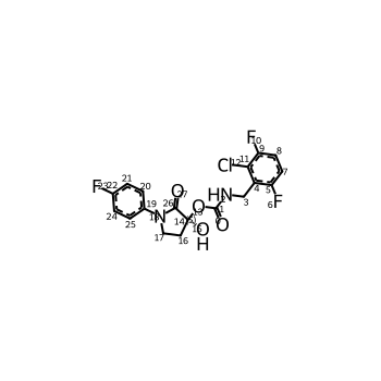 O=C(NCc1c(F)ccc(F)c1Cl)O[C@@]1(O)CCN(c2ccc(F)cc2)C1=O